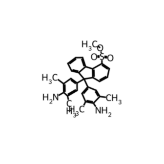 COS(=O)(=O)c1cccc2c1-c1ccccc1C2(c1cc(C)c(N)c(C)c1)c1cc(C)c(N)c(C)c1